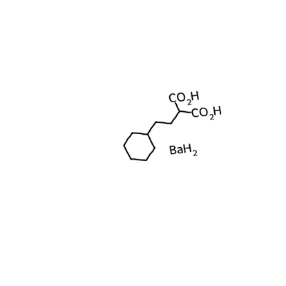 O=C(O)C(CCC1CCCCC1)C(=O)O.[BaH2]